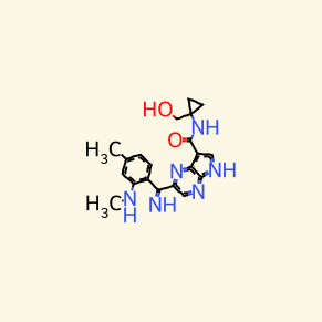 CNc1cc(C)ccc1C(=N)c1cnc2[nH]cc(C(=O)NC3(CO)CC3)c2n1